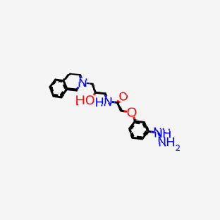 NNc1cccc(OCC(=O)NCC(O)CN2CCc3ccccc3C2)c1